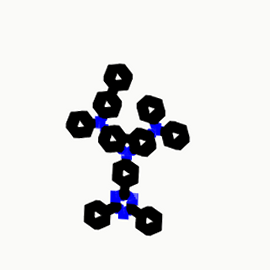 c1ccc(-c2ccc(N(c3ccccc3)c3ccc4c(c3)c3cc(N(c5ccccc5)c5ccccc5)ccc3n4-c3ccc(-c4nc(-c5ccccc5)nc(-c5ccccc5)n4)cc3)cc2)cc1